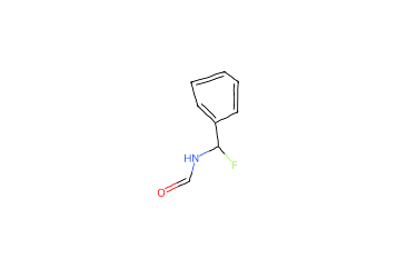 O=CNC(F)c1ccccc1